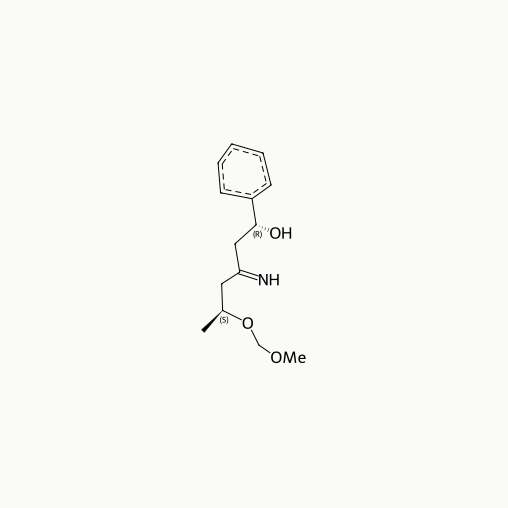 COCO[C@@H](C)CC(=N)C[C@@H](O)c1ccccc1